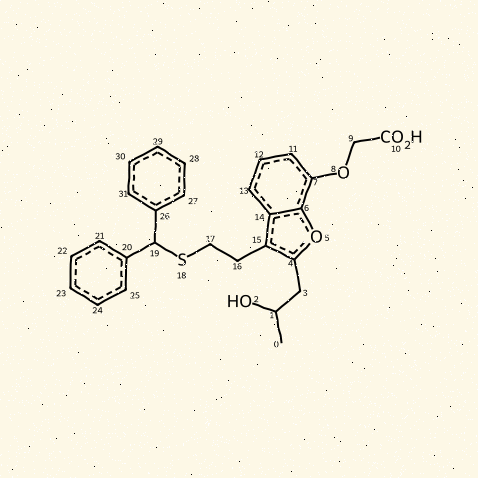 CC(O)Cc1oc2c(OCC(=O)O)cccc2c1CCSC(c1ccccc1)c1ccccc1